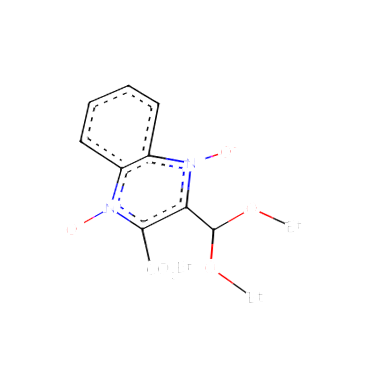 CCOC(=O)c1c(C(OCC)OCC)[n+]([O-])c2ccccc2[n+]1[O-]